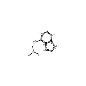 CN(C)C.Clc1ncnc2[nH]cnc12